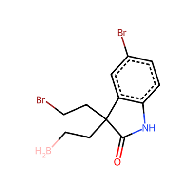 BCCC1(CCBr)C(=O)Nc2ccc(Br)cc21